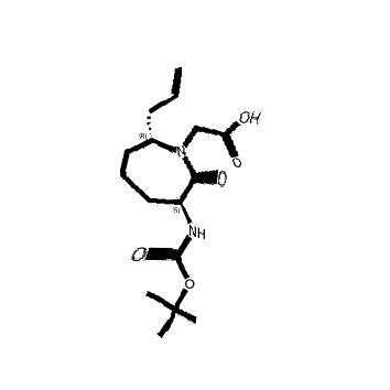 C=CC[C@H]1CCC[C@H](NC(=O)OC(C)(C)C)C(=O)N1CC(=O)O